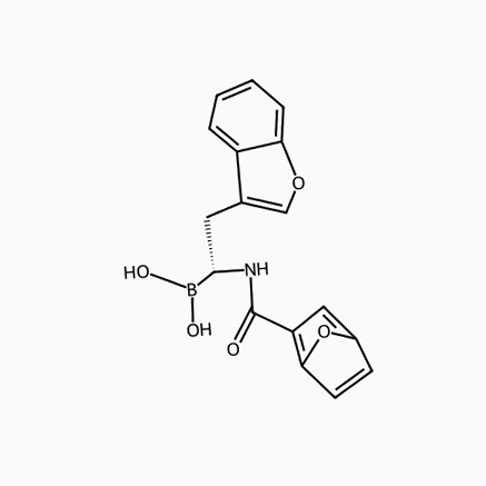 O=C(N[C@@H](Cc1coc2ccccc12)B(O)O)c1cc2ccc1o2